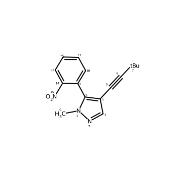 Cn1ncc(C#CC(C)(C)C)c1-c1ccccc1[N+](=O)[O-]